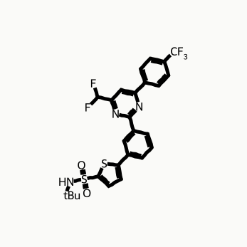 CC(C)(C)NS(=O)(=O)c1ccc(-c2cccc(-c3nc(-c4ccc(C(F)(F)F)cc4)cc(C(F)F)n3)c2)s1